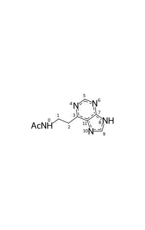 CC(=O)NCCc1ncnc2[nH]cnc12